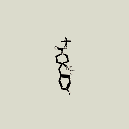 [C-]#[N+]C1(Cc2ccc(F)cc2)CCN(C(=O)OC(C)(C)C)CC1